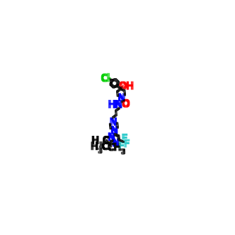 CC(C)(C)c1nc(N2CCN(CCCCNC(=O)N3CCC(O)(c4ccc(Cl)cc4)CC3)CC2)cc(C(F)(F)F)n1